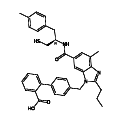 CCCc1nc2c(C)cc(C(=O)N[C@@H](CS)Cc3ccc(C)cc3)cc2n1Cc1ccc(-c2ccccc2C(=O)O)cc1